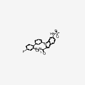 CS(=O)(=O)Nc1ccc2cc(C(N)=O)n(-c3cccc(-c4ccc(F)cc4C(F)(F)F)c3)c2c1